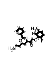 Cc1ccc(F)c(OCC(=O)C(CCCCN)NC(=O)c2ccccn2)c1F